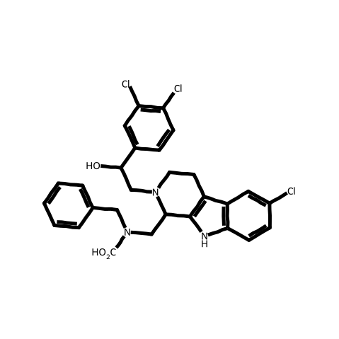 O=C(O)N(Cc1ccccc1)CC1c2[nH]c3ccc(Cl)cc3c2CCN1CC(O)c1ccc(Cl)c(Cl)c1